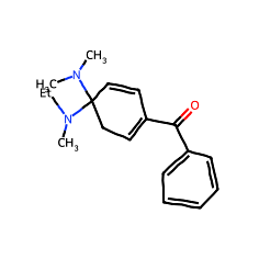 CCN(C)C1(N(C)C)C=CC(C(=O)c2ccccc2)=CC1